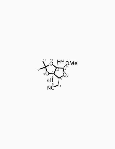 CO[C@@H]1O[C@H](CC#N)[C@H]2OC(C)(C)O[C@@H]12